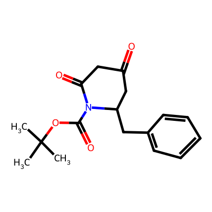 CC(C)(C)OC(=O)N1C(=O)CC(=O)CC1Cc1ccccc1